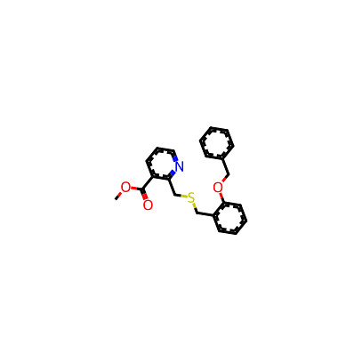 COC(=O)c1cccnc1CSCc1ccccc1OCc1ccccc1